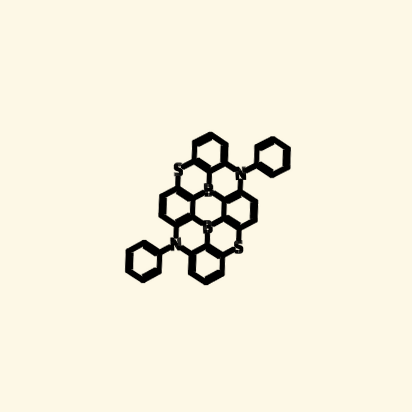 c1ccc(N2c3cccc4c3B3c5c(ccc6c5B5c7c(cccc7N6c6ccccc6)Sc6ccc2c3c65)S4)cc1